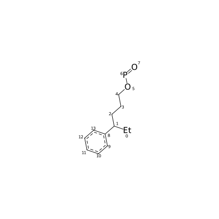 CCC(CCCOP=O)c1ccccc1